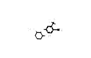 CC1CCCC(C)C1Oc1ccc(C#N)c(C(F)(F)F)c1